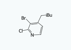 C[CH]C(C)Cc1ccnc(Cl)c1Br